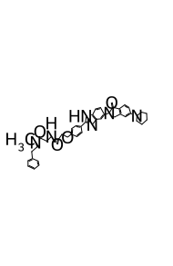 CN(CCc1ccccc1)C(=O)CNC(=O)COc1ccc(-c2nc3cc(N4Cc5cc(N6CCCCC6)ccc5C4=O)ccc3[nH]2)cc1